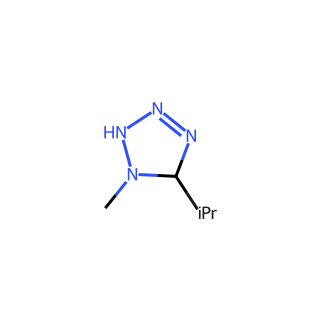 CC(C)C1N=NNN1C